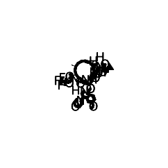 CC[C@@H]1C[C@H](C)CCC=C[C@@H]2C[C@@]2(C(=O)NS(=O)(=O)C2(C)CC2)NC(=O)[C@@H]2C[C@@H](Oc3ncc(N4CCOCC4)c4cc(OC)ccc34)CN2C(=O)[C@H]1NC(=O)OC(C)(C)C(F)(F)F